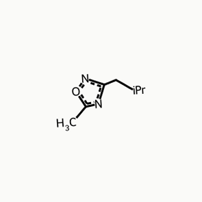 Cc1nc(CC(C)C)no1